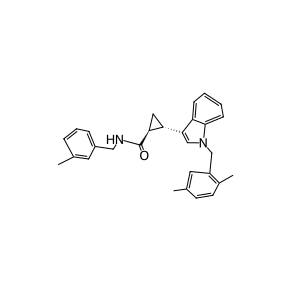 Cc1cccc(CNC(=O)[C@H]2C[C@@H]2c2cn(Cc3cc(C)ccc3C)c3ccccc23)c1